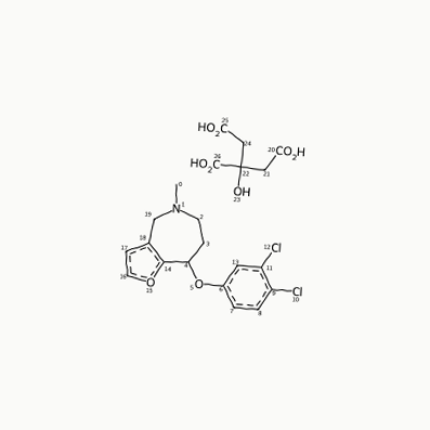 CN1CCC(Oc2ccc(Cl)c(Cl)c2)c2occc2C1.O=C(O)CC(O)(CC(=O)O)C(=O)O